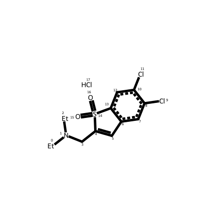 CCN(CC)CC1=Cc2cc(Cl)c(Cl)cc2S1(=O)=O.Cl